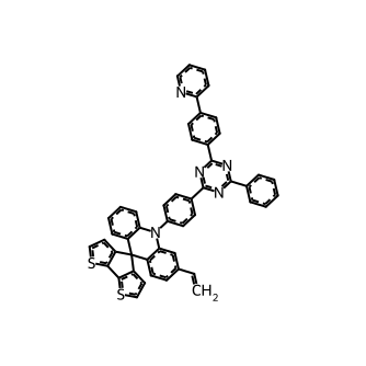 C=Cc1ccc2c(c1)N(c1ccc(-c3nc(-c4ccccc4)nc(-c4ccc(-c5ccccn5)cc4)n3)cc1)c1ccccc1C21c2ccsc2-c2sccc21